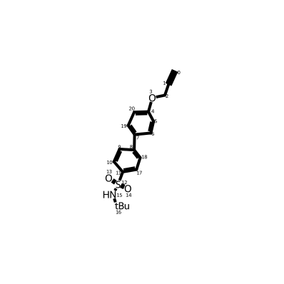 C#CCOc1ccc(-c2ccc(S(=O)(=O)NC(C)(C)C)cc2)cc1